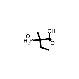 CCC(C)([PH2]=O)C(=O)O